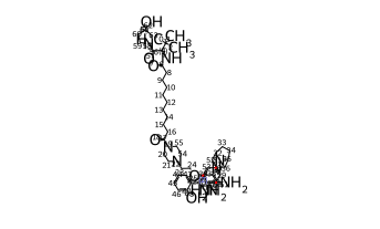 CC(C)(C)[C@H](NC(=O)CCCCCCCCCC(=O)N1CCN(CCOc2cccc(N3C4CCC3CN(C(/C=C(\N)c3ccccc3O)=C(N)N)C4)c2)CC1)C(=O)N1CC[C@@H](O)C1